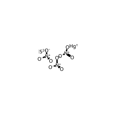 O=[N+]([O-])[O-].O=[N+]([O-])[O-].O=[N+]([O-])[O-].[Hg+].[S+2]